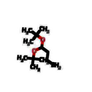 BCCC(OC(C)(C)C)OC(C)(C)C